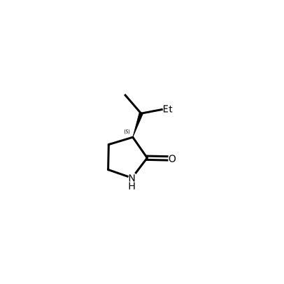 CCC(C)[C@@H]1CCNC1=O